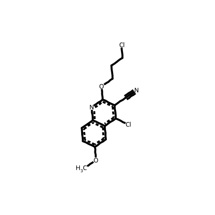 COc1ccc2nc(OCCCCl)c(C#N)c(Cl)c2c1